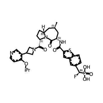 CC(C)Oc1ccncc1C1CN(C(=O)[C@@H]2CC[C@@H]3C[C@@H](C)C[C@H](NC(=O)c4cc5cc([C@H](F)P(=O)(O)O)ccc5s4)C(=O)N32)C1